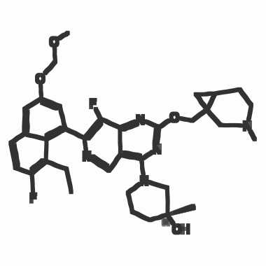 CCc1c(F)ccc2cc(OCOC)cc(-c3ncc4c(N5CCC[C@@](C)(O)C5)nc(OCC56CC5CCN(C)C6)nc4c3F)c12